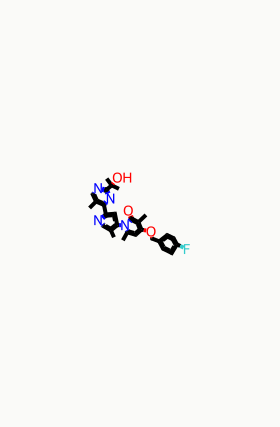 Cc1cnc(-c2nc(C(C)(C)O)ncc2C)cc1-n1c(C)cc(OCc2ccc(F)cc2)c(C)c1=O